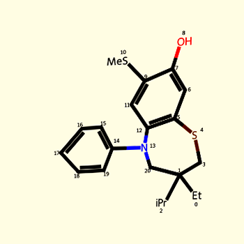 CCC1(C(C)C)CSc2cc(O)c(SC)cc2N(c2ccccc2)C1